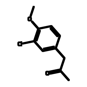 COc1ccc(CC(C)=O)cc1Cl